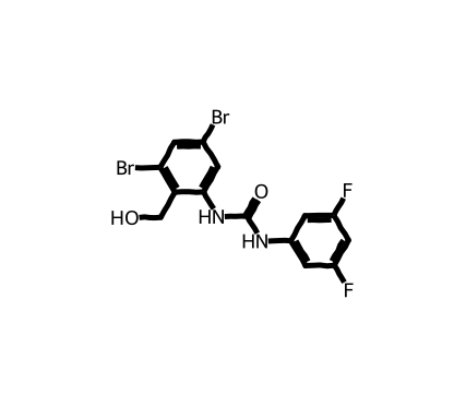 O=C(Nc1cc(F)cc(F)c1)Nc1cc(Br)cc(Br)c1CO